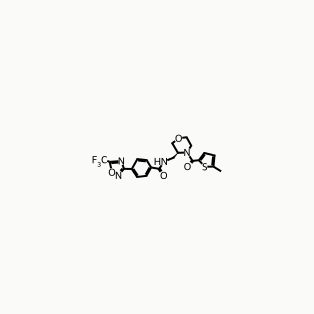 Cc1ccc(C(=O)N2CCOC[C@@H]2CNC(=O)c2ccc(-c3noc(C(F)(F)F)n3)cc2)s1